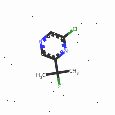 CC(C)(F)c1cncc(Cl)n1